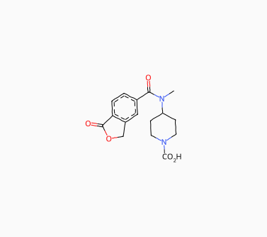 CN(C(=O)c1ccc2c(c1)COC2=O)C1CCN(C(=O)O)CC1